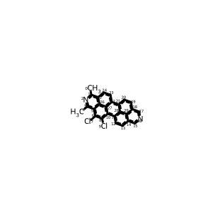 Cc1nc(C)c2c(Cl)c(Cl)c3c4ccc5cncc6ccc(c7ccc1c2c73)c4c65